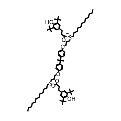 CCCCCCCCCCCCSCC(COc1ccc(C(C)(C)c2ccc(OCC(CSCCCCCCCCCCCC)OC(=O)CCc3cc(C(C)(C)C)c(O)c(C(C)(C)C)c3)cc2)cc1)OC(=O)CCc1cc(C(C)(C)C)c(O)c(C(C)(C)C)c1